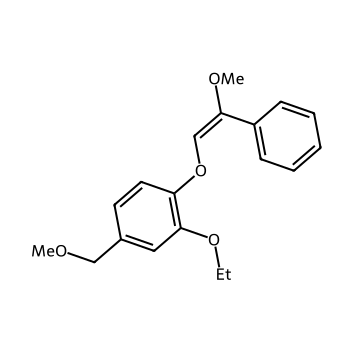 CCOc1cc(COC)ccc1O/C=C(/OC)c1ccccc1